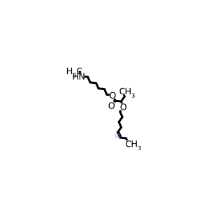 CC/C=C\CCCCOC(CC)C(=O)OCCCCCCNC